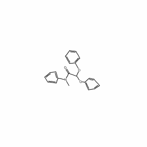 CN(C(=O)C(Oc1ccccc1)Oc1ccccc1)c1ccccc1